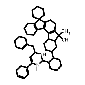 CC1(C)C2=C(C3=C(CC2)C2(CCCCC2)C2=C3CCCC2)C2CCC(C3CCCCC3C3NC(C4=CC=CCC4)=CC(CC4=CCCCC4)N3)CC21